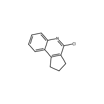 Clc1nc2ccccc2c2c1CCC2